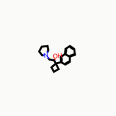 OC(CN1CCCCC1)C1(c2ccc3ccccc3c2)CCC1